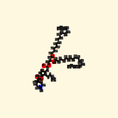 CC/C=C\CC1C(CC(=O)OCC(COCCCCCCCC/C=C\C/C=C\CCCC)OCCCCCCCC/C=C\C/C=C\CCCCC)CCC1OC(=O)C1(C)CCN(C)CC1